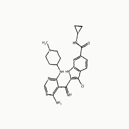 CN1CCC(Nc2ncnc(N)c2C(=N)c2[nH]c3cc(C(=O)NC4CC4)ccc3c2Cl)CC1